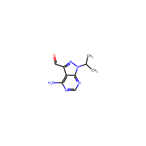 CC(C)n1nc(C=O)c2c(N)ncnc21